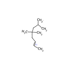 [CH2]C(C)CC(C)(C)C/C=C/C